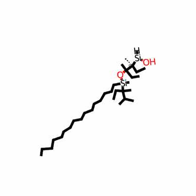 CCCCCCCCCCCCCCCC[Si](C)(OC(C)(CC)[C@](C)(CC)[SiH](C)O)C(C)(CC)C(C)C